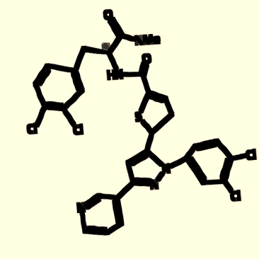 CNC(=O)[C@H](Cc1ccc(Cl)c(Cl)c1)NC(=O)C1=CCC(c2cc(-c3cccnc3)nn2-c2ccc(Cl)c(Cl)c2)S1